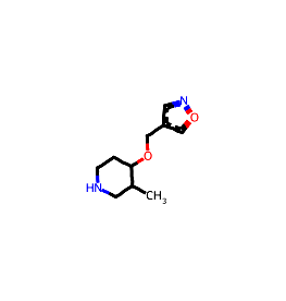 CC1CNCCC1OCc1cnoc1